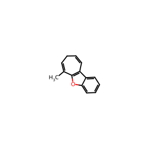 CC1=CCC=Cc2c1oc1ccccc21